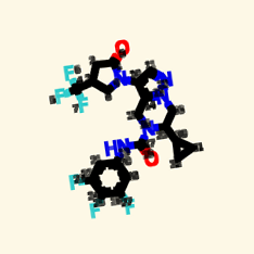 O=C1CC(C(F)(F)F)CN1c1cnn2c1CN(C(=O)Nc1cc(F)c(F)c(F)c1)C(C1CC1)C2